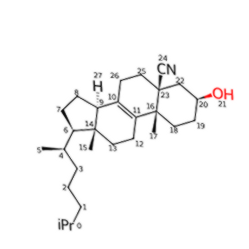 CC(C)CCC[C@@H](C)[C@H]1CC[C@H]2C3=C(CC[C@]12C)[C@@]1(C)CC[C@H](O)C[C@@]1(C#N)CC3